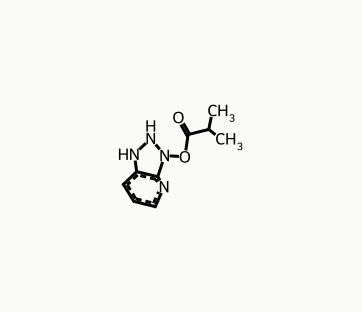 CC(C)C(=O)ON1NNc2cccnc21